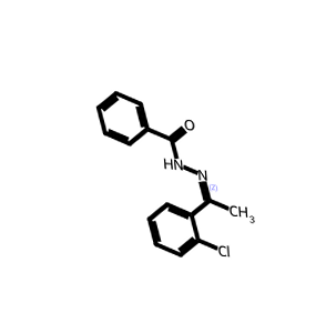 C/C(=N/NC(=O)c1ccccc1)c1ccccc1Cl